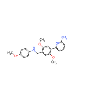 COc1ccc(NCc2cc(OC)c(-c3cccc(N)n3)cc2OC)cc1